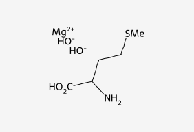 CSCCC(N)C(=O)O.[Mg+2].[OH-].[OH-]